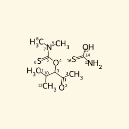 CC(=O)C(OC(=S)N(C)C)C(C)C.NC(O)=S